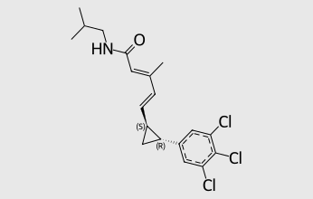 CC(C=C[C@@H]1C[C@H]1c1cc(Cl)c(Cl)c(Cl)c1)=CC(=O)NCC(C)C